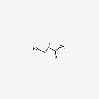 CC(F)C(F)CO